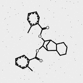 Cc1ccccc1C(=O)OC1C2CC(C3CCCCC32)C1OC(=O)c1ccccc1C